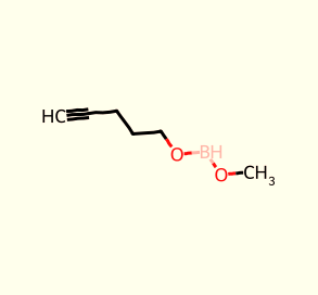 C#CCCCOBOC